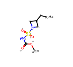 COCC1CN(S(=O)(=O)NC(=O)OC(C)(C)C)C1